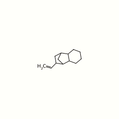 C=CC1CC2CC1C1CCCCC21